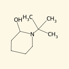 CC(C)(C)N1CCCCC1O